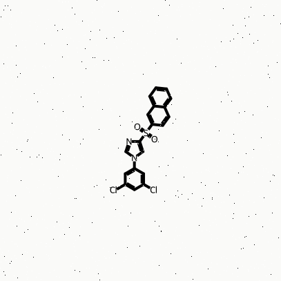 O=S(=O)(c1ccc2ccccc2c1)c1cn(-c2cc(Cl)cc(Cl)c2)cn1